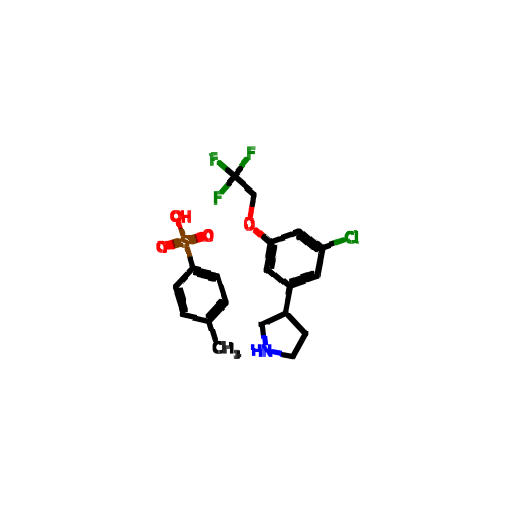 Cc1ccc(S(=O)(=O)O)cc1.FC(F)(F)COc1cc(Cl)cc(C2CCNC2)c1